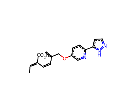 C=C(/C=C\C(=C/C)C(=O)O)COc1ccc(-c2ccn[nH]2)nc1